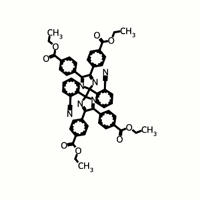 CCOC(=O)c1ccc(C2=NC(c3ccccc3C#N)(C3(c4ccccc4C#N)N=C(c4ccc(C(=O)OCC)cc4)C(c4ccc(C(=O)OCC)cc4)=N3)N=C2c2ccc(C(=O)OCC)cc2)cc1